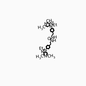 CCC1=NC2C(C)=NC(C)=CC2N1c1ccc(CCNC(=O)NCCc2ccc(-n3c(CC)nc4c(C)nc(C)cc43)cc2)cc1